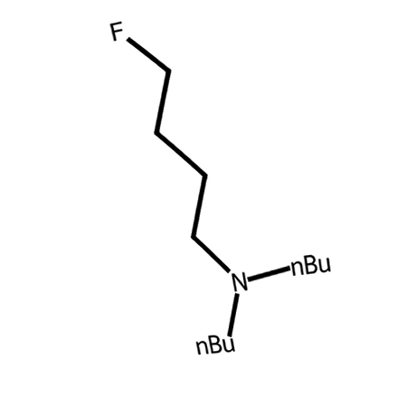 CCCCN(CCCC)CCCCF